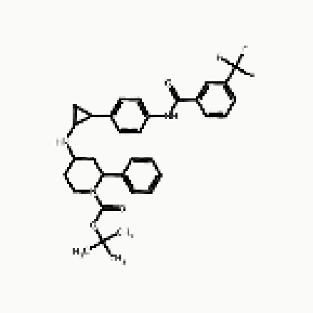 CC(C)(C)OC(=O)N1CCC(NC2CC2c2ccc(NC(=O)c3cccc(C(F)(F)F)c3)cc2)CC1c1ccccc1